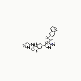 C=C(n1nc(-c2ccc(C(=O)Nc3ccncn3)c(F)c2)cn/c1=N/C)C1(c2ccc3ncccc3c2)CC1